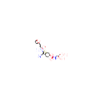 CN(CC(O)CO)C(=O)OC1CCc2c(sc(NC(=O)C=Cc3ccco3)c2C#N)C1